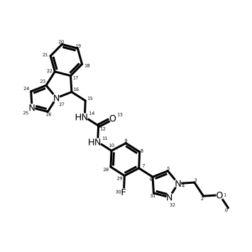 COCCn1cc(-c2ccc(NC(=O)NCC3c4ccccc4-c4cncn43)cc2F)cn1